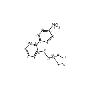 O=[N+]([O-])c1ccc(-c2ncccc2CCN2CCCC2)cc1